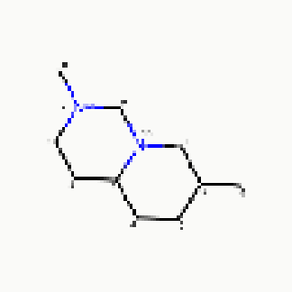 CC1CCC2CCN(C)CN2C1